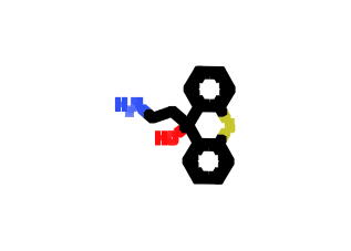 NCCC1(O)c2ccccc2Sc2ccccc21